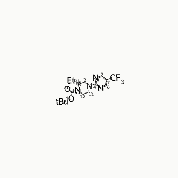 CC[C@@H]1CN(c2ncc(C(F)(F)F)cn2)CCN1C(=O)OC(C)(C)C